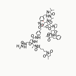 CC[C@H](C)[C@@H]([C@@H](CC(=O)N1CCC[C@H]1[C@H](OC)[C@@H](C)C(=O)N[C@@H](Cc1ccccc1)C(=O)OC)OC)N(C)C(=O)[C@H](C)NC(=O)[C@H](C(C)C)N(C)CCc1ccc(N(C)C(=O)OCc2ccc(NC(=O)[C@H](CCCNC(N)=O)NC(=O)[C@H](C)NC(=O)CCCCCN3C(=O)CC(C)C3=O)cc2)cc1